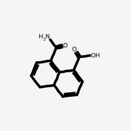 NC(=O)C1=C2C(C(=O)O)=CC=CC2CC=C1